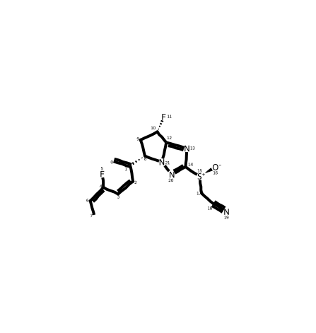 C=C(/C=C\C(F)=C/C)[C@@H]1C[C@H](F)c2nc([S@@+]([O-])CC#N)nn21